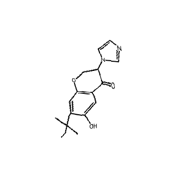 CC(C)(C)c1cc2c(cc1O)C(=O)C(n1ccnc1)CO2